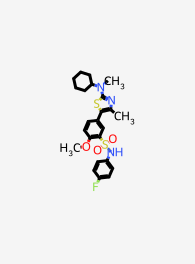 COc1ccc(-c2sc(N(C)C3CCCCC3)nc2C)cc1S(=O)(=O)Nc1ccc(F)cc1